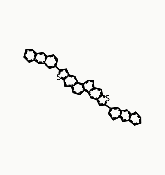 c1ccc2cc3cc(-c4cc5cc6c(ccc7c8cc9cc(-c%10ccc%11cc%12ccccc%12cc%11c%10)sc9cc8ccc67)cc5s4)ccc3cc2c1